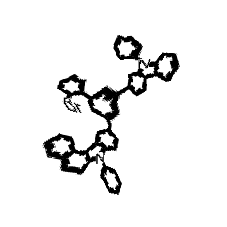 Brc1ccccc1-c1cc(-c2ccc3c(c2)c2c4ccccc4ccc2n3-c2ccccc2)cc(-c2ccc3c4ccccc4n(-c4ccccc4)c3c2)c1